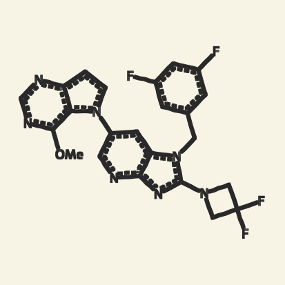 COc1ncnc2ccn(-c3cnc4nc(N5CC(F)(F)C5)n(Cc5cc(F)cc(F)c5)c4c3)c12